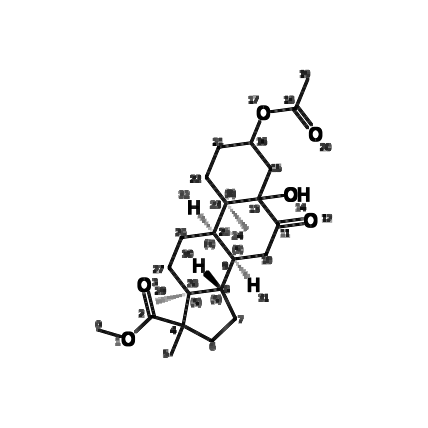 COC(=O)C1(C)CC[C@H]2[C@@H]3CC(=O)C4(O)CC(OC(C)=O)CC[C@]4(C)[C@@H]3CC[C@@]21C